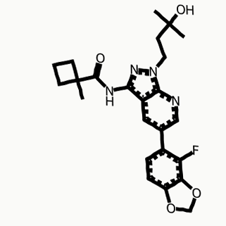 CC(C)(O)CCn1nc(NC(=O)C2(C)CCC2)c2cc(-c3ccc4c(c3F)OCO4)cnc21